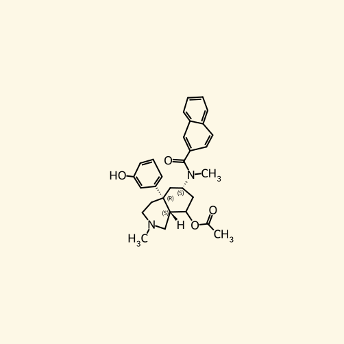 CC(=O)OC1C[C@@H](N(C)C(=O)c2ccc3ccccc3c2)C[C@]2(c3cccc(O)c3)CCN(C)C[C@@H]12